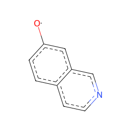 [O]c1ccc2ccncc2c1